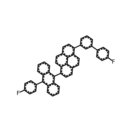 Fc1ccc(-c2cccc(-c3ccc4ccc5c(-c6c7ccccc7c(-c7ccc(F)cc7)c7ccccc67)ccc6ccc3c4c65)c2)cc1